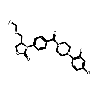 CCOCC1COC(=O)N1c1ccc(C(=O)N2CCN(c3ncc(Cl)cc3Cl)CC2)cc1